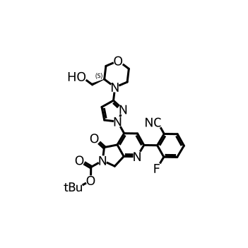 CC(C)(C)OC(=O)N1Cc2nc(-c3c(F)cccc3C#N)cc(-n3ccc(N4CCOC[C@@H]4CO)n3)c2C1=O